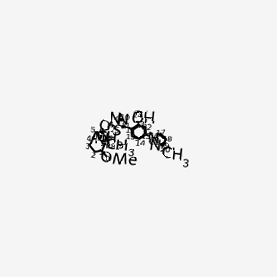 COC1CCC2CC(Oc3nnc(-c4ccc(-n5ccc(C)n5)cc4O)s3)CC1(C)N2C